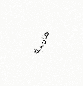 Nc1c(Br)cc(C(=O)C2CC2C(=O)N2CCC(N3Cc4ccc(C(=O)O)cc4NC3=O)CC2)cc1Br